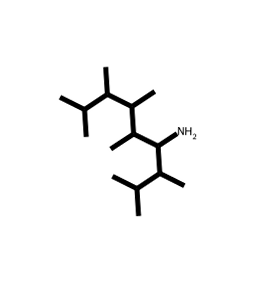 CC(C)C(C)C(C)C(C)C(N)C(C)C(C)C